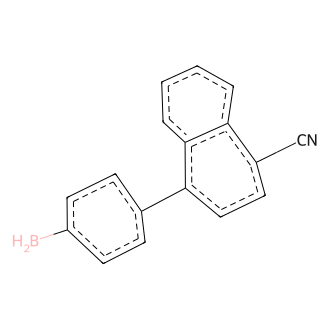 Bc1ccc(-c2ccc(C#N)c3ccccc23)cc1